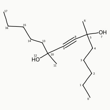 CCCCCC(C)(O)C#CC(C)(O)CCCCC